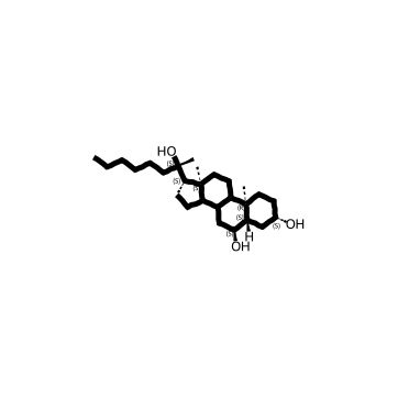 CCCCCC[C@](C)(O)[C@H]1CCC2C3C[C@H](O)[C@H]4C[C@@H](O)CC[C@]4(C)C3CC[C@@]21C